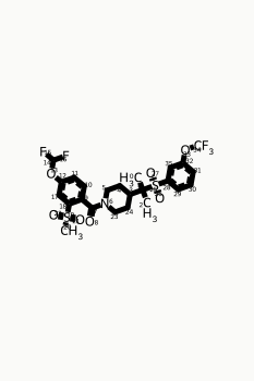 CC(C)(C1CCN(C(=O)c2ccc(OC(F)F)cc2S(C)(=O)=O)CC1)S(=O)(=O)c1cccc(OC(F)(F)F)c1